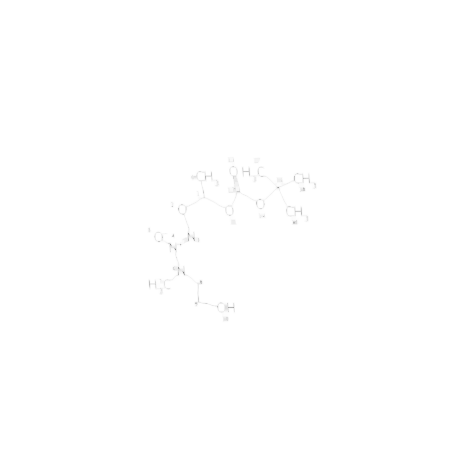 CC(O/N=[N+](\[O-])N(C)CCO)OC(=O)OC(C)(C)C